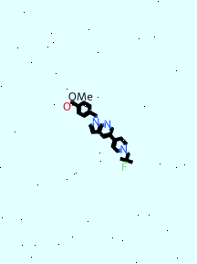 COC(=O)c1ccc(Cn2ccc3cc(C4=CCN(CC(C)(C)F)CC4)cnc32)cc1